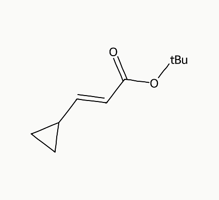 CC(C)(C)OC(=O)/C=C/C1CC1